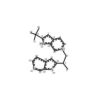 CC(C[n+]1ccc2cc(C(C)(C)C)[nH]c2c1)c1cc2ccncc2s1